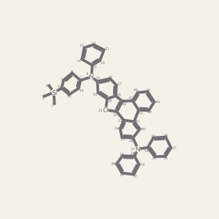 C[Si](C)(C)c1ccc(N(c2ccccc2)c2ccc3c(c2)oc2c4ccc(N(c5ccccc5)c5ccccc5)cc4c4ccccc4c32)cc1